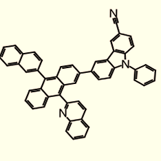 N#Cc1ccc2c(c1)c1cc(-c3ccc4c(-c5ccc6ccccc6c5)c5ccccc5c(-c5ccc6ccccc6n5)c4c3)ccc1n2-c1ccccc1